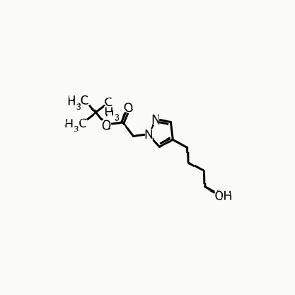 CC(C)(C)OC(=O)Cn1cc(CCCCO)cn1